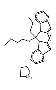 C1CC[SiH2]C1.CCC[CH2][Zr][C](CCC)(C1C(C)=Cc2ccccc21)C1C(C)=Cc2ccccc21